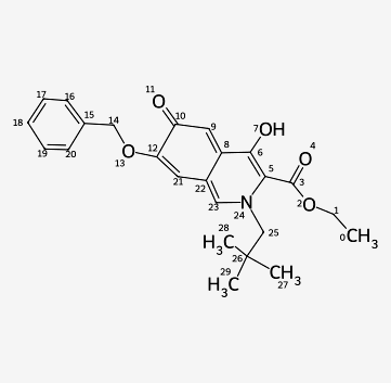 CCOC(=O)c1c(O)c2cc(=O)c(OCc3ccccc3)cc-2cn1CC(C)(C)C